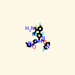 Cc1ccn(C(=O)C2CCN(c3nc(OC[C@@]45CCCN4C[C@H](F)C5)nc4c(F)c(-c5ccc(F)c6sc(N)c(C#N)c56)c(Cl)cc34)C2)n1